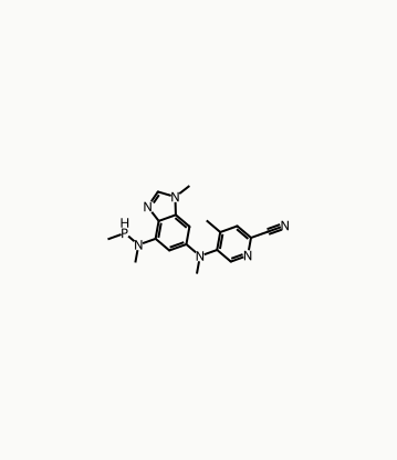 CPN(C)c1cc(N(C)c2cnc(C#N)cc2C)cc2c1ncn2C